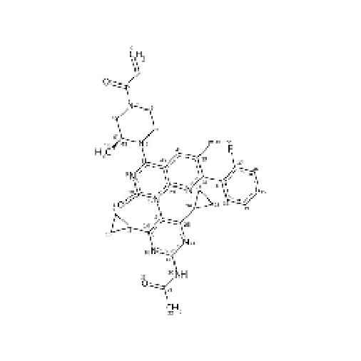 C=CC(=O)N1CCN(c2nc(=O)n(-c3c(C4CC4)nc(NC(C)=O)nc3C3CC3)c3nc(-c4ccccc4F)c(F)cc23)[C@@H](C)C1